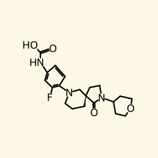 O=C(O)Nc1ccc(N2CCC[C@]3(CCN(C4CCOCC4)C3=O)C2)c(F)c1